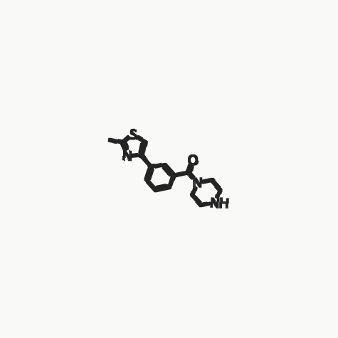 Cc1nc(-c2cccc(C(=O)N3CCNCC3)c2)cs1